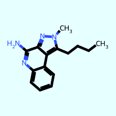 CCCCc1c2c(nn1C)c(N)nc1ccccc12